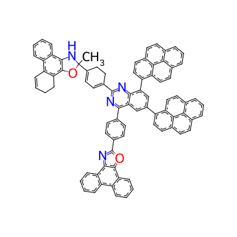 CC1(C2=CC=C(c3nc(-c4ccc(-c5nc6c7ccccc7c7ccccc7c6o5)cc4)c4cc(-c5ccc6ccc7cccc8ccc5c6c78)cc(-c5ccc6ccc7cccc8ccc5c6c78)c4n3)CC2)Nc2c(c3c(c4ccccc24)C=CCC3)O1